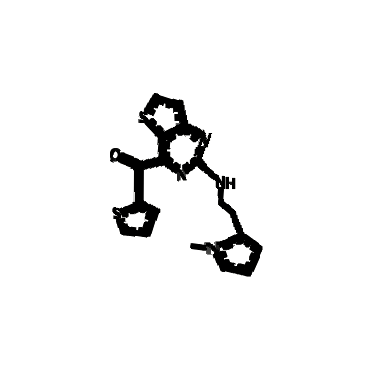 Cn1cccc1CCNc1nc(C(=O)c2cccs2)c2sccc2n1